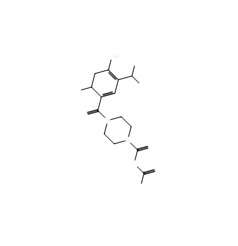 C=C(C)OC(=O)N1CCN(C(=O)C2=CC(C(C)C)=C(O)CC2O)CC1